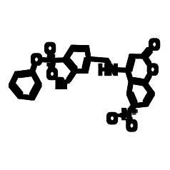 O=c1cc(NCc2ccc(S(=O)(=O)Oc3ccccc3)c(Br)c2)c2cc([N+](=O)[O-])ccc2o1